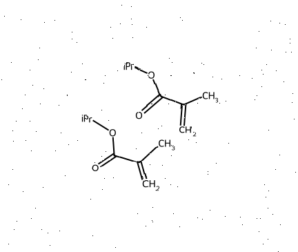 C=C(C)C(=O)OC(C)C.C=C(C)C(=O)OC(C)C